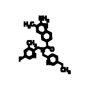 CCc1ccc(CN(Cc2ncc(F)cc2C)C(=O)c2ccc3nc(N)c(C)cc3c2)nc1